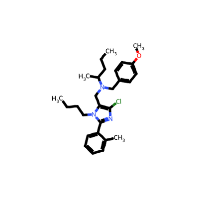 CCCCn1c(-c2ccccc2C)nc(Cl)c1CN(Cc1ccc(OC)cc1)C(C)CCC